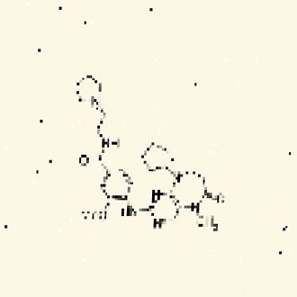 COc1cc(C(=O)NCCN2CCCC2)ccc1Nc1ncc2c(n1)N(C1CCCC1)CCC(=O)N2C